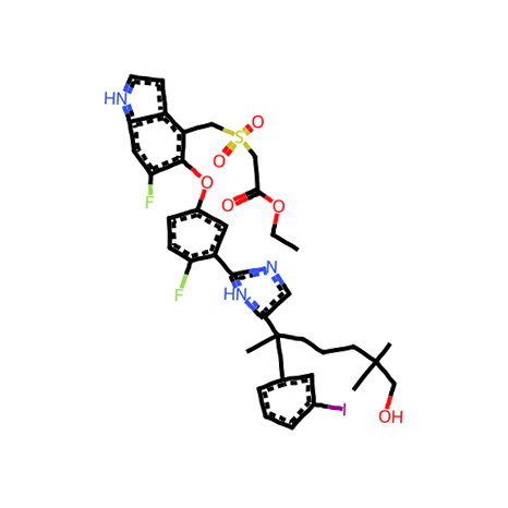 CCOC(=O)CS(=O)(=O)Cc1c(Oc2ccc(F)c(-c3ncc(C(C)(CCCC(C)(C)CO)c4cccc(I)c4)[nH]3)c2)c(F)cc2[nH]ccc12